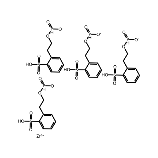 O=[PH]([O-])OCCc1ccccc1S(=O)(=O)O.O=[PH]([O-])OCCc1ccccc1S(=O)(=O)O.O=[PH]([O-])OCCc1ccccc1S(=O)(=O)O.O=[PH]([O-])OCCc1ccccc1S(=O)(=O)O.[Zr+4]